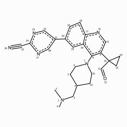 CN(C)CC1CCN(c2c(C3(C=O)CC3)cnc3ccc(-c4cnc(C#N)nc4)cc23)CC1